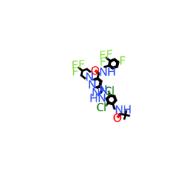 Cn1c(Nc2c(Cl)ccc(CNC(=O)C(C)(C)C)c2Cl)nc2cc(C(=O)NCc3ccc(F)cc3C(F)(F)F)c(N3CCC(C(F)(F)F)CC3)nc21